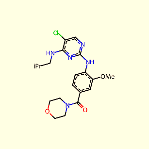 COc1cc(C(=O)N2CCOCC2)ccc1Nc1ncc(Cl)c(NCC(C)C)n1